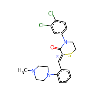 CN1CCN(c2ccccc2/C=C2\SCCN(c3ccc(Cl)c(Cl)c3)C2=O)CC1